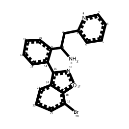 NC(Cc1ccccn1)c1ccccc1-c1noc2c(Br)cccc12